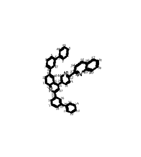 c1ccc(-c2cccc(-c3ccc4nc(-c5cccc(-c6ccccc6)c5)cc(-c5ccc(-c6ccc7ccccc7n6)nc5)c4c3)c2)cc1